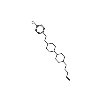 C=CCCCC1CCC(C2CCC(CCc3ccc(Cl)cc3)CC2)CC1